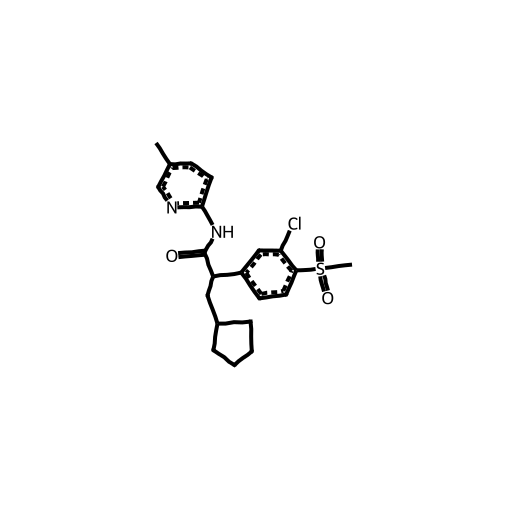 Cc1ccc(NC(=O)C(CC2CCCC2)c2ccc(S(C)(=O)=O)c(Cl)c2)nc1